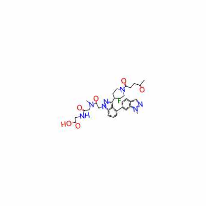 CC(=O)CCC(=O)N1CCC(c2nn(CC(=O)N(C)CC(=O)NCC(=O)O)c3cccc(-c4cc5c(cnn5C)cc4F)c23)CC1